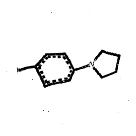 Ic1ccc(N2CCCC2)cc1